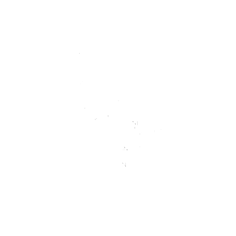 Cc1cc2c(=O)[nH]c(-c3ccc(OCF)cc3)cn2n1